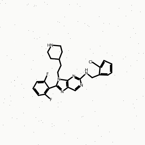 Fc1cccc(F)c1-c1nc2cnc(NCc3ccccc3Cl)nc2n1CCC1CCNCC1